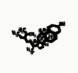 CCC(CC[C@@H](C)[C@H]1CC[C@H]2[C@@H]3CC=C4C[C@@H](O)CC[C@]4(C)[C@H]3CC[C@]12C)C(C)C